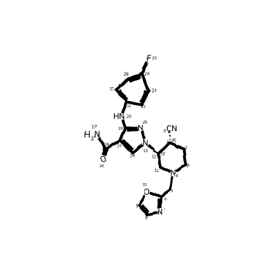 N#C[C@@H]1CCN(Cc2ncco2)C[C@H]1n1cc(C(N)=O)c(Nc2ccc(F)cc2)n1